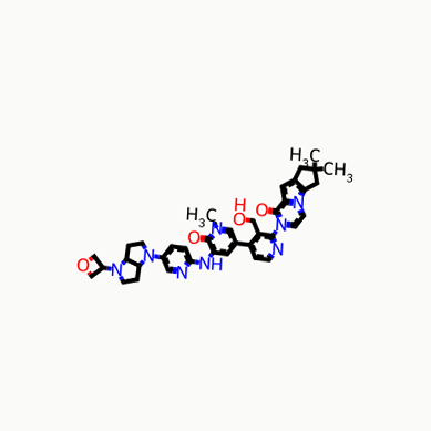 Cn1cc(-c2ccnc(-n3ccn4c5c(cc4c3=O)CC(C)(C)C5)c2CO)cc(Nc2ccc(N3CCC4C3CCN4C3COC3)cn2)c1=O